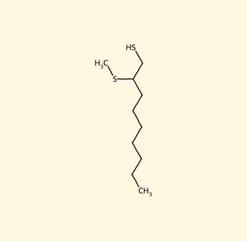 CCCCCCCC(CS)SC